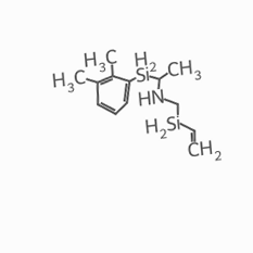 C=C[SiH2]CNC(C)[SiH2]c1cccc(C)c1C